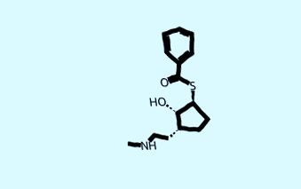 CNCC[C@H]1CC[C@H](SC(=O)c2ccccc2)[C@H]1O